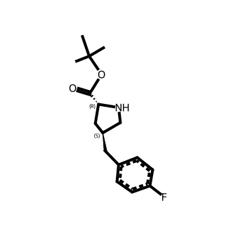 CC(C)(C)OC(=O)[C@H]1C[C@H](Cc2ccc(F)cc2)CN1